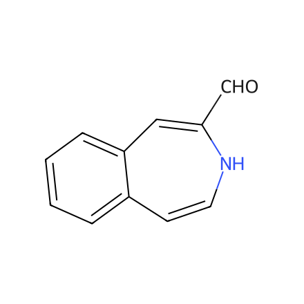 O=CC1=Cc2ccccc2C=CN1